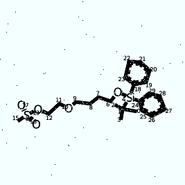 CC(C)(C)[Si](OCCCCOCCOS(C)(=O)=O)(c1ccccc1)c1ccccc1